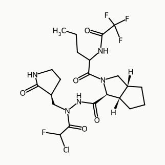 CCCC(NC(=O)C(F)(F)F)C(=O)N1C[C@@H]2CCC[C@@H]2[C@H]1C(=O)NN(C[C@@H]1CCNC1=O)C(=O)C(F)Cl